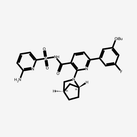 CC(C)COc1cc(F)cc(-c2ccc(C(=O)NS(=O)(=O)c3cccc(N)n3)c(N3C[C@@H]4CC[C@@H]3C4)n2)c1